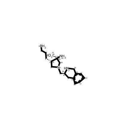 BCCC[C@H]1CN(C[C@@H]2Cc3ccccc3CN2)C[C@@]1(N)C(=O)O